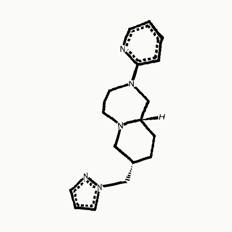 c1ccc(N2CCN3C[C@@H](Cn4cccn4)CC[C@H]3C2)nc1